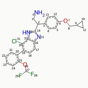 NCC(c1ccc(OCC2CC2)cc1)c1nc2ccc(-c3ccccc3OC(F)F)c(Cl)c2[nH]1